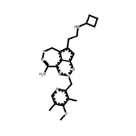 COc1c(C)cnc(Cn2nc3cc(CCNC4CCC4)c4c-3c(n2)C(N)=NSC4)c1C